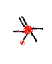 C=C(C)C(=O)OCCCCCCCCCCOc1c(S(=O)(=O)CCCCCCCCCCCCC)c(S(=O)(=O)CCCCCCCCCCCCC)c(S(=O)(=O)CCCCCCCCCCCCC)c(S(=O)(=O)CCCCCCCCCCCCC)c1S(=O)(=O)CCCCCCCCCCCCC